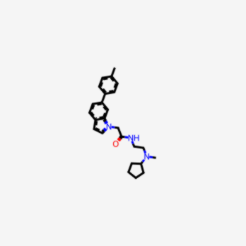 Cc1ccc(-c2ccc3ccn(CC(=O)NCCN(C)C4CCCC4)c3c2)cc1